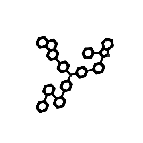 c1ccc(-c2ccccc2-c2ccccc2-c2ccc(N(c3ccc(-c4cccc(-c5oc6ccccc6c5-c5ccccc5)c4)cc3)c3ccc(-c4ccc5c(ccc6ccccc65)c4)cc3)cc2)cc1